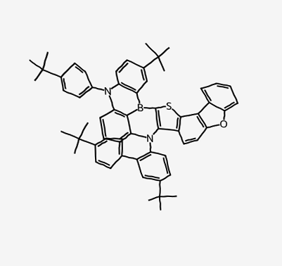 CC(C)(C)c1ccc(-c2cc(C(C)(C)C)ccc2N2c3cccc4c3B(c3cc(C(C)(C)C)ccc3N4c3ccc(C(C)(C)C)cc3)c3sc4c(ccc5oc6ccccc6c54)c32)cc1